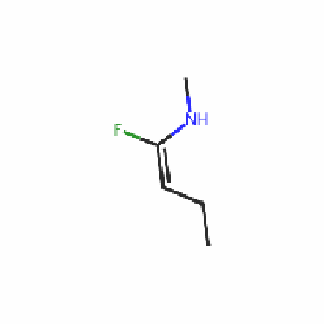 CC/C=C(/F)NC